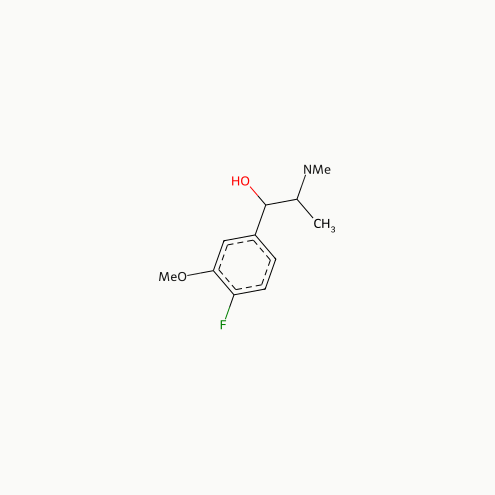 CNC(C)C(O)c1ccc(F)c(OC)c1